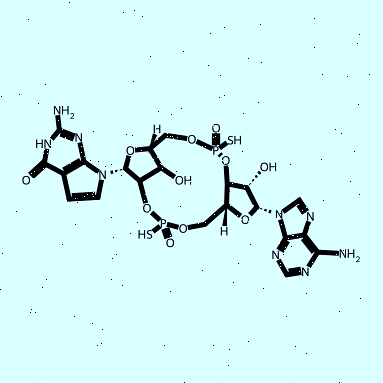 Nc1nc2c(ccn2[C@@H]2O[C@@H]3COP(=O)(S)OC4[C@@H](COP(=O)(S)OC2C3O)O[C@@H](n2cnc3c(N)ncnc32)[C@H]4O)c(=O)[nH]1